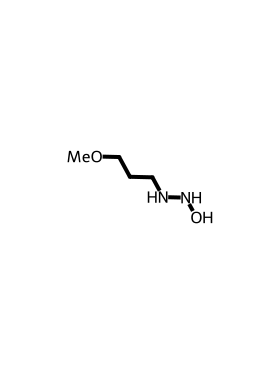 COCCCNNO